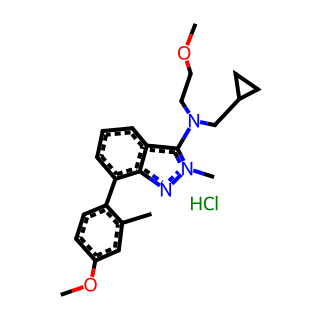 COCCN(CC1CC1)c1c2cccc(-c3ccc(OC)cc3C)c2nn1C.Cl